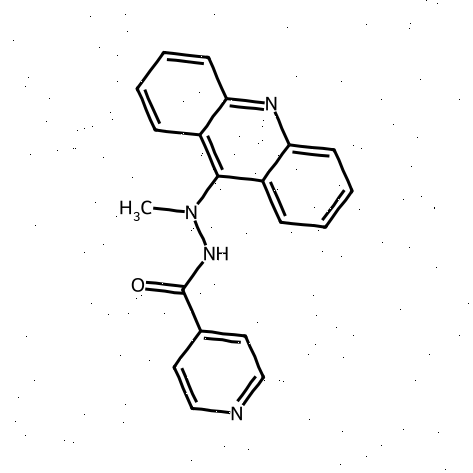 CN(NC(=O)c1ccncc1)c1c2ccccc2nc2ccccc12